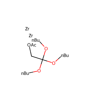 CCCCOC(COC(C)=O)(OCCCC)OCCCC.[Zr].[Zr]